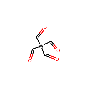 O=[CH][W]([CH]=O)([CH]=O)[CH]=O